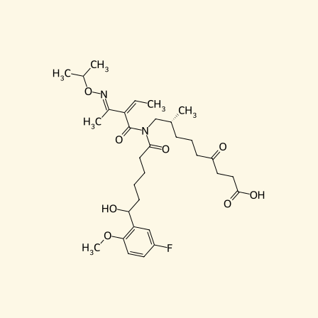 C/C=C(C(=O)N(C[C@H](C)CCCC(=O)CCC(=O)O)C(=O)CCCCC(O)c1cc(F)ccc1OC)/C(C)=N/OC(C)C